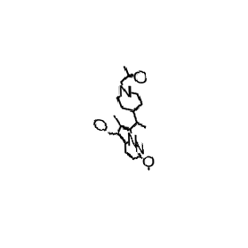 COc1ccc2c(C=O)c(C)c(C(C)C3CCN(CC(C)=O)CC3)n2n1